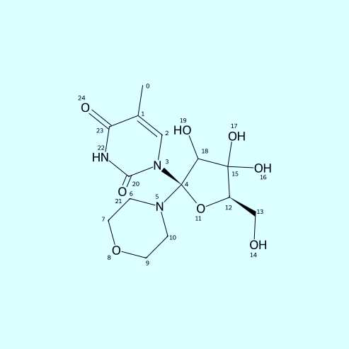 Cc1cn([C@]2(N3CCOCC3)O[C@H](CO)C(O)(O)C2O)c(=O)[nH]c1=O